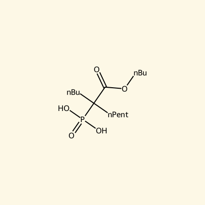 CCCCCC(CCCC)(C(=O)OCCCC)P(=O)(O)O